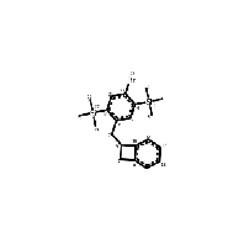 C[Si](C)(C)c1cc(CC2Cc3ccccc32)c([Si](C)(C)C)cc1Br